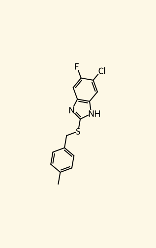 Cc1ccc(CSc2nc3cc(F)c(Cl)cc3[nH]2)cc1